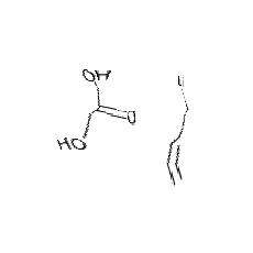 O=C(O)O.[Li][CH2]C=C